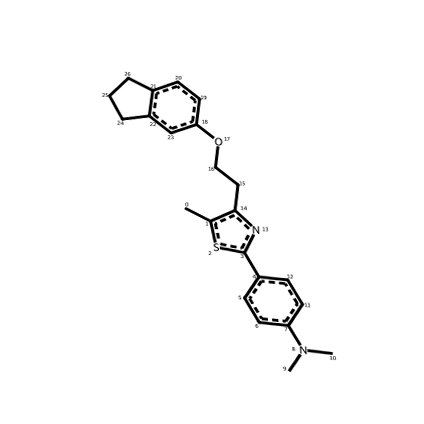 Cc1sc(-c2ccc(N(C)C)cc2)nc1CCOc1ccc2c(c1)CCC2